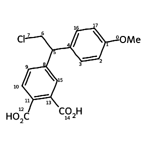 COc1ccc(C(CCl)c2ccc(C(=O)O)c(C(=O)O)c2)cc1